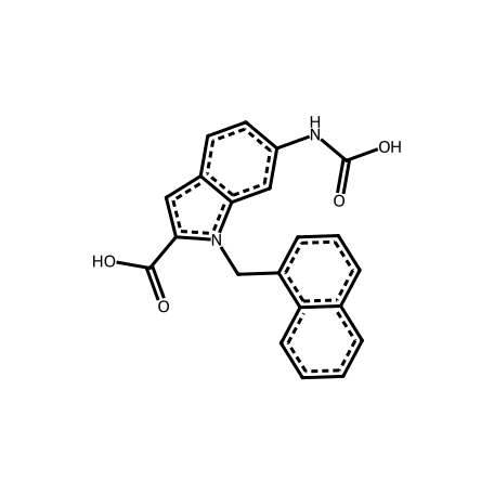 O=C(O)Nc1ccc2cc(C(=O)O)n(Cc3cccc4ccccc34)c2c1